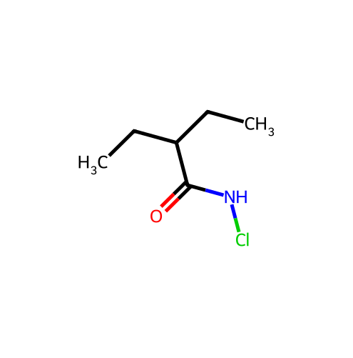 CCC(CC)C(=O)NCl